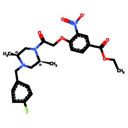 CCOC(=O)c1ccc(OCC(=O)N2C[C@H](C)N(Cc3ccc(F)cc3)C[C@H]2C)c([N+](=O)[O-])c1